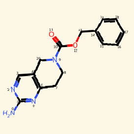 Nc1ncc2c(n1)CCN(C(=O)OCc1ccccc1)C2